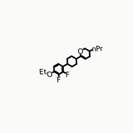 CCCC1CC=C(C2CCC(c3ccc(OCC)c(F)c3F)CC2)OC1